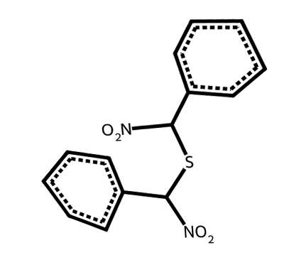 O=[N+]([O-])C(SC(c1ccccc1)[N+](=O)[O-])c1ccccc1